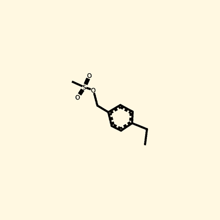 CCc1ccc(COS(C)(=O)=O)cc1